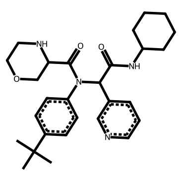 CC(C)(C)c1ccc(N(C(=O)C2COCCN2)C(C(=O)NC2CCCCC2)c2cccnc2)cc1